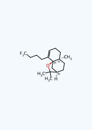 CC1(C)O[C@]23C[C@H]1CC[C@]2(C)CCC=C3CCCC(F)(F)F